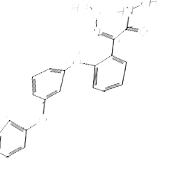 CNC(=O)/C(=N\OC)c1ccccc1Oc1cccc(Oc2ccccc2)c1